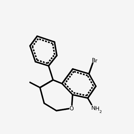 CC1CCOc2c(N)cc(Br)cc2C1c1ccccc1